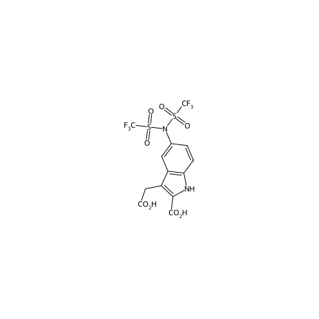 O=C(O)Cc1c(C(=O)O)[nH]c2ccc(N(S(=O)(=O)C(F)(F)F)S(=O)(=O)C(F)(F)F)cc12